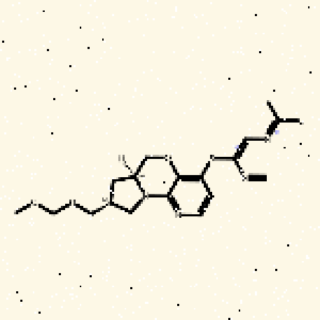 C=N/C(=C\N=C(/C)Cl)Sc1ccnc2c1OC[C@@H]1C[C@H](COCOC)CN21